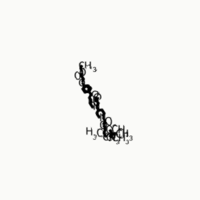 CCOC(=O)COc1ccc(C(=O)CN2CCN(C3CCN(C(=O)OC(OC(=O)C(C)(C)C)C(C)C)CC3)CC2=O)cc1